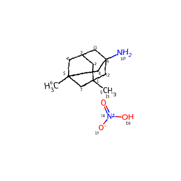 CC12CC3CC(C)(C1)CC(N)(C3)C2.O=[N+]([O-])O